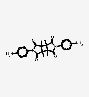 CC12C(=O)N(c3ccc(N)cc3)C(=O)C1(C)C1(C)C(=O)N(c3ccc(N)cc3)C(=O)C21C